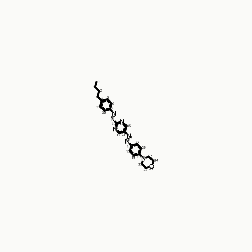 CCCCc1ccc(N=Nc2ncc(N=Nc3ccc(N4CCOCC4)cc3)cn2)cc1